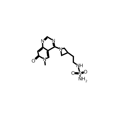 Cn1cc2c(N3CC(CCNS(N)(=O)=O)C3)ncnc2cc1=O